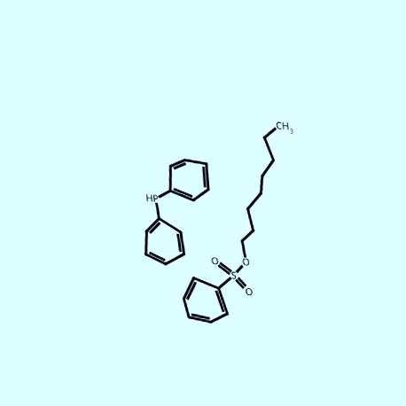 CCCCCCCCOS(=O)(=O)c1ccccc1.c1ccc(Pc2ccccc2)cc1